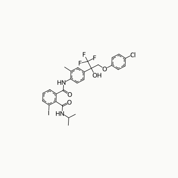 Cc1cc(C(O)(COc2ccc(Cl)cc2)C(F)(F)F)ccc1NC(=O)c1cccc(I)c1C(=O)NC(C)C